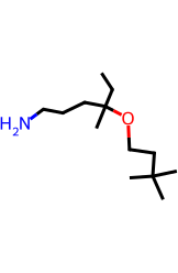 CCC(C)(CCCN)OCCC(C)(C)C